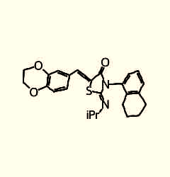 CC(C)/N=C1\S/C(=C\c2ccc3c(c2)OCCO3)C(=O)N1c1cccc2c1CCCC2